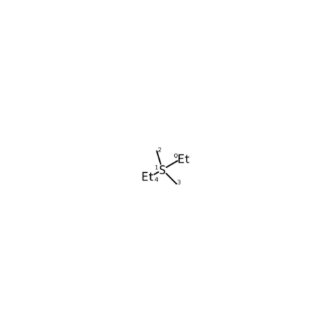 CCS(C)(C)CC